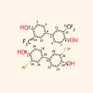 Oc1ccc(-c2ccc(O)c(C(F)(F)F)c2)cc1C(F)(F)F.Oc1ccc(-c2ccc(O)c(F)c2)cc1F